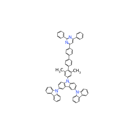 Cc1cc(-n2c3ccc(-n4c5ccccc5c5ccccc54)cc3c3cc(-n4c5ccccc5c5ccccc54)ccc32)cc(C)c1-c1ccc(-c2ccc(-c3cc(-c4ccccc4)nc(-c4ccccc4)n3)cc2)cc1